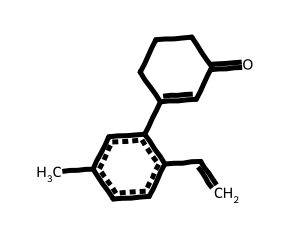 C=Cc1ccc(C)cc1C1=CC(=O)CCC1